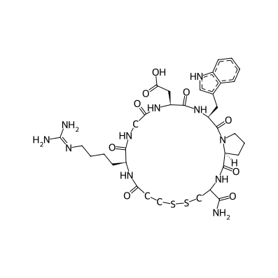 NC(=O)C1CSSCCC(=O)N[C@@H](CCCCN=C(N)N)C(=O)NCC(=O)N[C@@H](CC(=O)O)C(=O)N[C@@H](Cc2c[nH]c3ccccc23)C(=O)N2CCC[C@H]2C(=O)N1